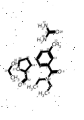 CCN(CC)C(=O)c1cccc(C)c1.CCO.NC(N)=O.O=CC1CCCO1